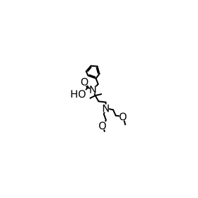 COCCN(CCOC)CCC(C)(C)N(Cc1ccccc1)C(=O)O